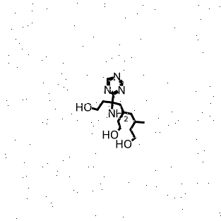 CC(CCO)CC(CCO)CC(N)(CCO)c1ncncn1